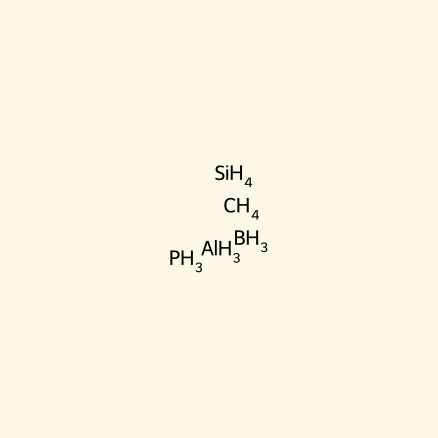 B.C.P.[AlH3].[SiH4]